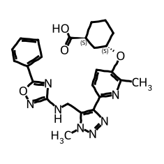 Cc1nc(-c2nnn(C)c2CNc2noc(-c3ccccc3)n2)ccc1O[C@H]1CCC[C@H](C(=O)O)C1